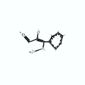 COC(=C(Cl)C=O)c1ccccc1